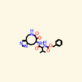 CC(C)C(NC(=O)OCc1ccccc1)C(=O)NC1CCc2ncncc2CCNC(=O)C1=O